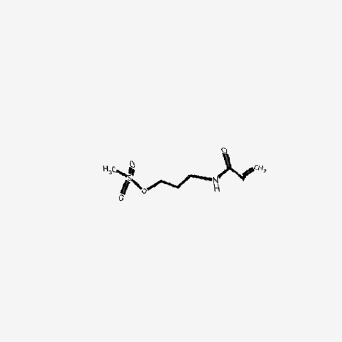 C=CC(=O)NCCCOS(C)(=O)=O